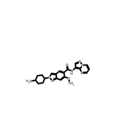 COc1cc2nn(C3CCC(N)CC3)cc2cc1C(=O)Nc1cnn2cccnc12